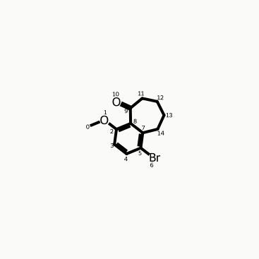 COc1ccc(Br)c2c1C(=O)CCCC2